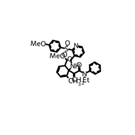 C=C(C(=O)N(CC)c1ccccc1)C1(NCc2cccnc2S(=O)(=O)c2ccc(OC)cc2)C(C)=CC=CC1C(=O)OC